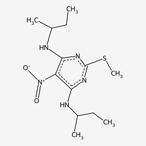 CCC(C)Nc1nc(SC)nc(NC(C)CC)c1[N+](=O)[O-]